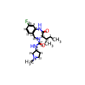 CC[C@H](C)[C@H]1C(=O)Nc2cc(F)ccc2CN1C(=O)N[C@H]1CCN(C)C1